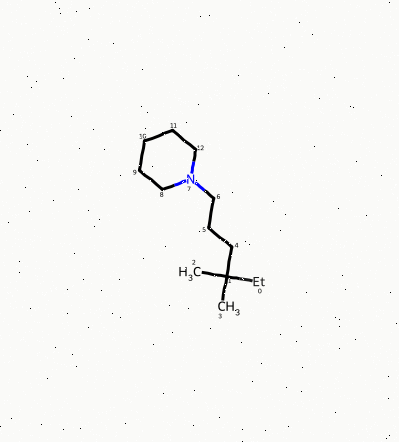 CCC(C)(C)CCCN1CCCCC1